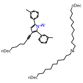 CCCCCCCCCCCCCCC#CC1=C(c2cccc(C)c2)[N+](=[N-])C(c2cccc(C)c2)=C1.CCCCCCCCCCCCCCCCCCC[CH2][Ni][CH2]CCCCCCCCCCCCCCCCCCC